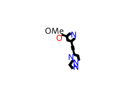 COC(=O)c1cncc(C#Cc2ccn3nccc3n2)c1